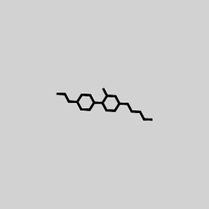 CCCCCC1CCC(C2CCC(CCC)CC2)C(C)C1